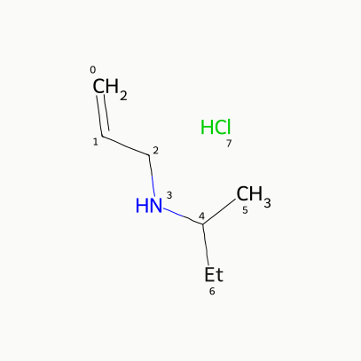 C=CCNC(C)CC.Cl